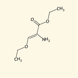 CCOC=C(N)C(=O)OCC